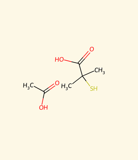 CC(=O)O.CC(C)(S)C(=O)O